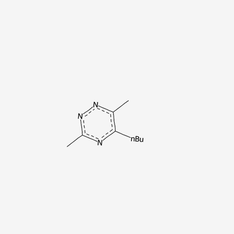 CCCCc1nc(C)nnc1C